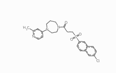 Cc1cc(N2CCCN(C(=O)CCS(=O)(=O)c3ccc4cc(Cl)ccc4c3)CC2)ccn1